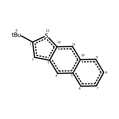 CC(C)(C)c1cc2cc3ccccc3cc2s1